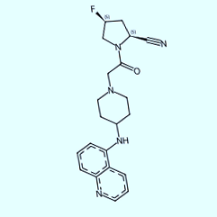 N#C[C@@H]1C[C@H](F)CN1C(=O)CN1CCC(Nc2cccc3ncccc23)CC1